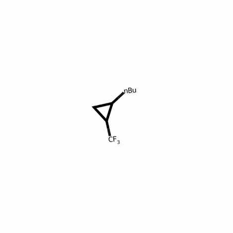 CCCCC1CC1C(F)(F)F